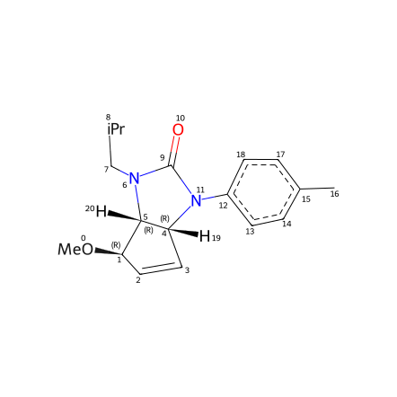 CO[C@@H]1C=C[C@@H]2[C@H]1N(CC(C)C)C(=O)N2c1ccc(C)cc1